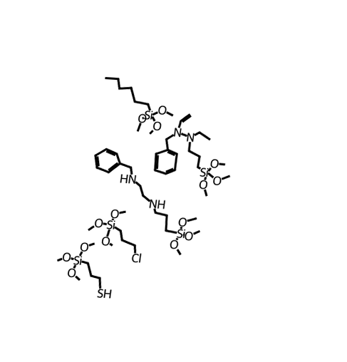 C=CN(Cc1ccccc1)N(CC)CCC[Si](OC)(OC)OC.CCCCCC[Si](OC)(OC)OC.CO[Si](CCCCl)(OC)OC.CO[Si](CCCNCCNCc1ccccc1)(OC)OC.CO[Si](CCCS)(OC)OC